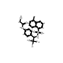 Cc1cccc2c(S(=O)(=O)OC(c3ccc(OC(=O)CCl)cc3)C(F)(F)F)cccc12